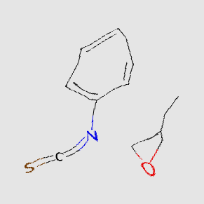 CC1CO1.S=C=Nc1ccccc1